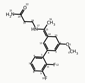 COC1=CC(c2cccc(F)c2F)=C/C(=C(/C)NCCC(N)=O)C1